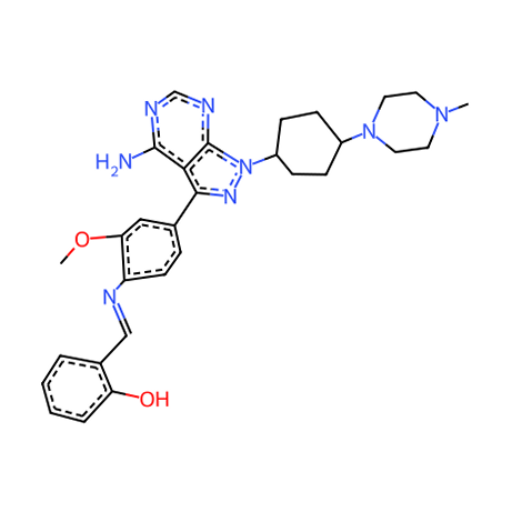 COc1cc(-c2nn(C3CCC(N4CCN(C)CC4)CC3)c3ncnc(N)c23)ccc1/N=C/c1ccccc1O